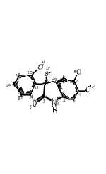 O=C1Nc2cc(Cl)c(Cl)cc2C1(Br)c1ccccc1Cl